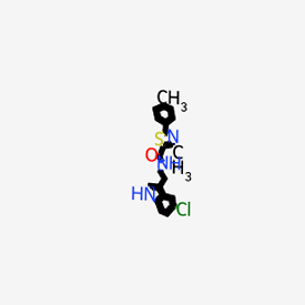 Cc1ccc(-c2nc(C)c(C(=O)NCCc3c[nH]c4ccc(Cl)cc34)s2)cc1